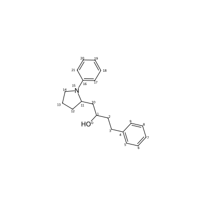 OC(CCc1ccccc1)CC1CCCN1c1ccccc1